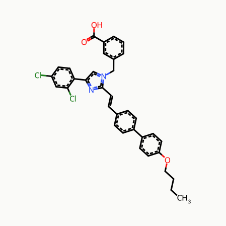 CCCCOc1ccc(-c2ccc(C=Cc3nc(-c4ccc(Cl)cc4Cl)cn3Cc3cccc(C(=O)O)c3)cc2)cc1